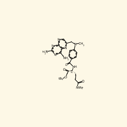 CNC(=O)CC[C@@H](NC(=O)c1ccc(N(C)Cc2cnc3nc(N)nc(N)c3n2)cc1)C(=O)OC(C)(C)C